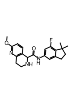 COc1ccc2c(n1)CCNC2C(=O)Nc1cc(F)c2c(c1)CCC2(C)C